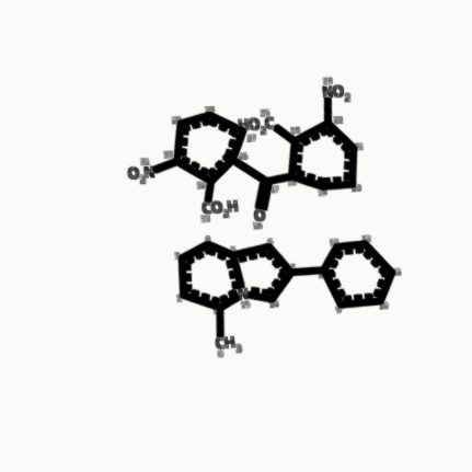 Cc1cccc2cc(-c3ccccc3)cn12.O=C(c1cccc([N+](=O)[O-])c1C(=O)O)c1cccc([N+](=O)[O-])c1C(=O)O